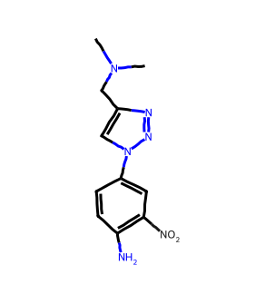 CN(C)Cc1cn(-c2ccc(N)c([N+](=O)[O-])c2)nn1